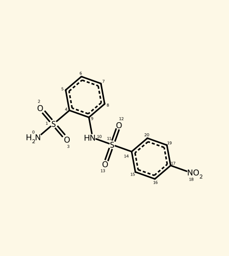 NS(=O)(=O)c1ccccc1NS(=O)(=O)c1ccc([N+](=O)[O-])cc1